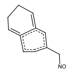 O=NCc1ccc2c(c1)=CCCC=2